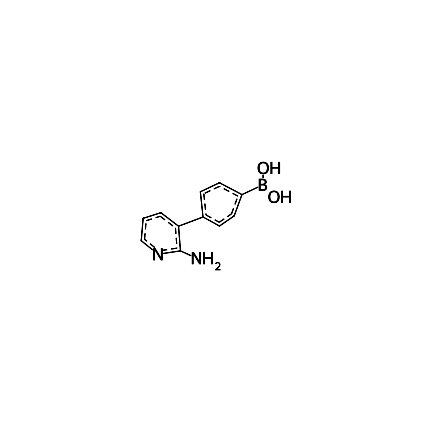 Nc1ncccc1-c1ccc(B(O)O)cc1